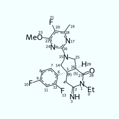 CCN1C(=N)C[C@@]2(c3ccc(F)cc3F)CN(c3nc(C)c(F)c(OC)n3)C[C@H]2C1=O